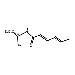 C/C=C/C=C/C(=O)N[C@H](C(=O)OCC)C(C)C